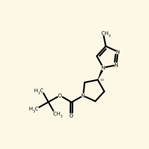 Cc1cn([C@H]2CCN(C(=O)OC(C)(C)C)C2)nn1